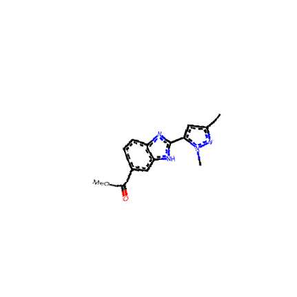 COC(=O)c1ccc2nc(-c3cc(C)nn3C)[nH]c2c1